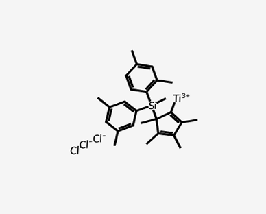 CC1=C(C)C(C)([Si](C)(c2cc(C)cc(C)c2)c2ccc(C)cc2C)[C]([Ti+3])=C1C.[Cl-].[Cl-].[Cl-]